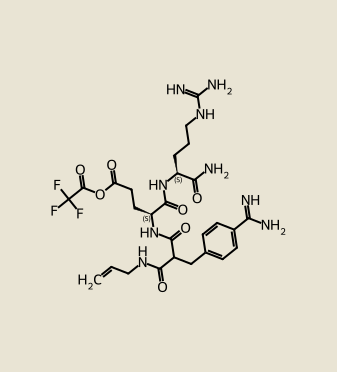 C=CCNC(=O)C(Cc1ccc(C(=N)N)cc1)C(=O)N[C@@H](CCC(=O)OC(=O)C(F)(F)F)C(=O)N[C@@H](CCCNC(=N)N)C(N)=O